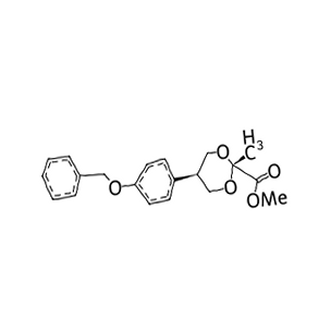 COC(=O)[C@]1(C)OC[C@@H](c2ccc(OCc3ccccc3)cc2)CO1